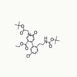 CCOC(=O)c1cn(CC(=O)OC(C)(C)C)c(=O)cc1-c1cc(Cl)ccc1CCNC(=O)OC(C)(C)C